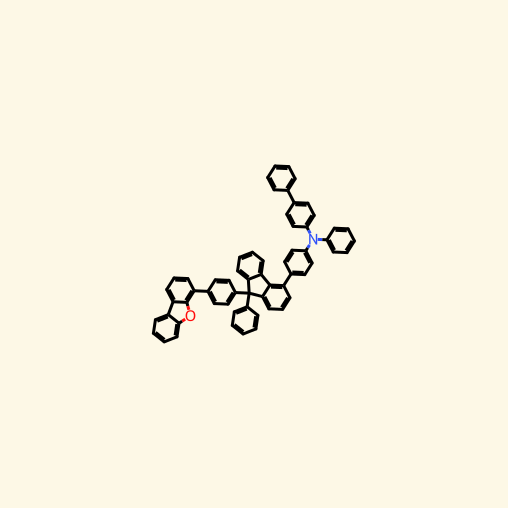 c1ccc(-c2ccc(N(c3ccccc3)c3ccc(-c4cccc5c4-c4ccccc4C5(c4ccccc4)c4ccc(-c5cccc6c5oc5ccccc56)cc4)cc3)cc2)cc1